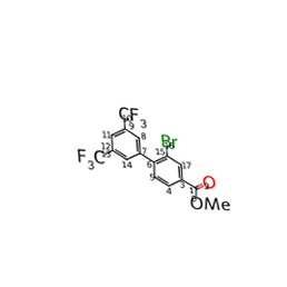 COC(=O)c1ccc(-c2cc(C(F)(F)F)cc(C(F)(F)F)c2)c(Br)c1